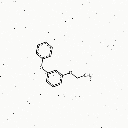 CCOc1cccc(Oc2cc[c]cc2)c1